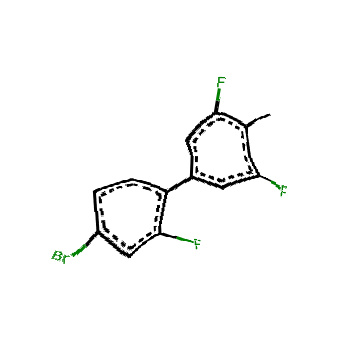 Cc1c(F)cc(-c2ccc(Br)cc2F)cc1F